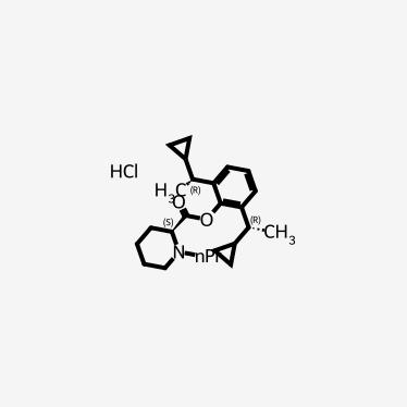 CCCN1CCCC[C@H]1C(=O)Oc1c([C@H](C)C2CC2)cccc1[C@H](C)C1CC1.Cl